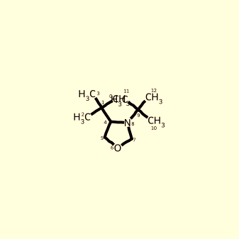 CC(C)(C)C1COCN1C(C)(C)C